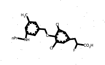 CCCNc1cc(C)cc(COc2c(Cl)cc(CC(F)C(=O)O)cc2Cl)c1